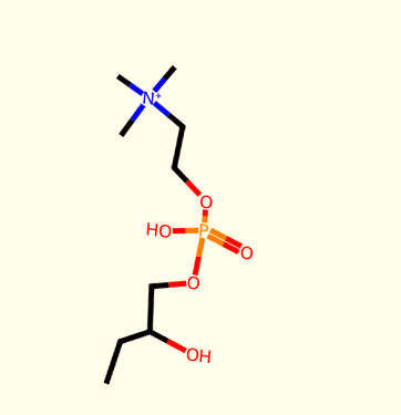 CCC(O)COP(=O)(O)OCC[N+](C)(C)C